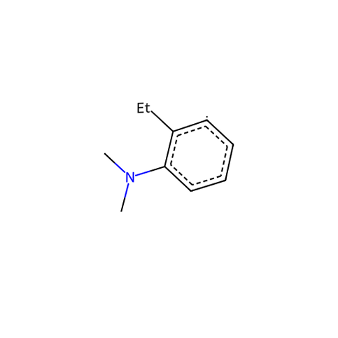 CCc1[c]cccc1N(C)C